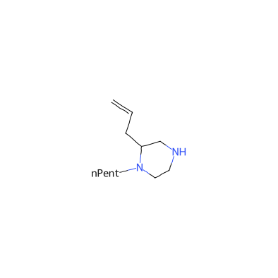 C=CCC1CNCCN1CCCCC